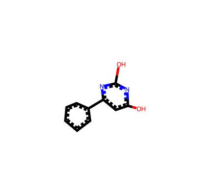 Oc1cc(-c2ccccc2)nc(O)n1